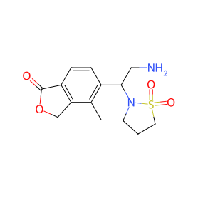 Cc1c(C(CN)N2CCCS2(=O)=O)ccc2c1COC2=O